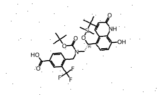 CC(C)(C)OC(=O)N(Cc1ccc(C(=O)O)cc1C(F)(F)F)C[C@H](O[Si](C)(C)C(C)(C)C)c1ccc(O)c2[nH]c(=O)ccc12